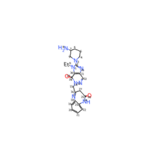 CCn1c(N2CCCC(N)C2)nc2cnn(CC3=Nc4ccccc4NC(=O)C3)c(=O)c21